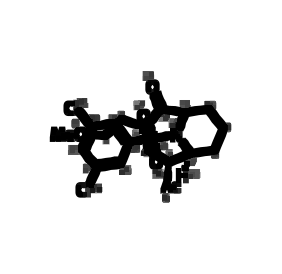 COCCN1C[C@H](C(C)=O)[C@@H]2CCCC(C1=O)N2S(=O)(=O)c1cc(Cl)cc(Cl)c1